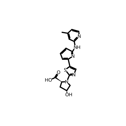 Cc1ccnc(Nc2cccc(-c3cnc(N4C[C@H](O)C[C@H]4C(=O)O)s3)n2)c1